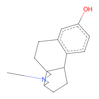 CN1CC2CCC3c4ccc(O)cc4CCC23C1